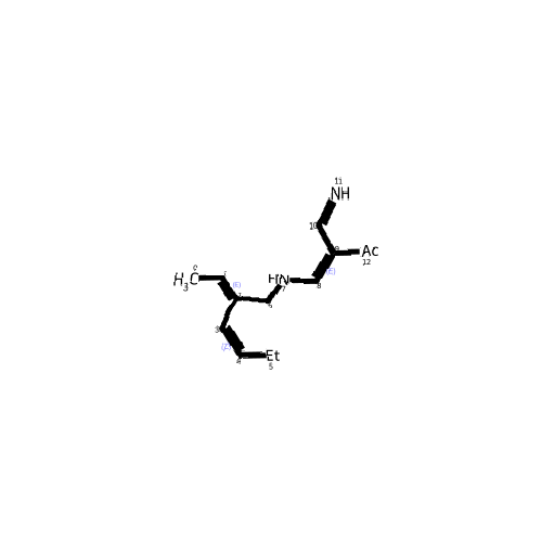 C/C=C(\C=C/CC)CN/C=C(\C=N)C(C)=O